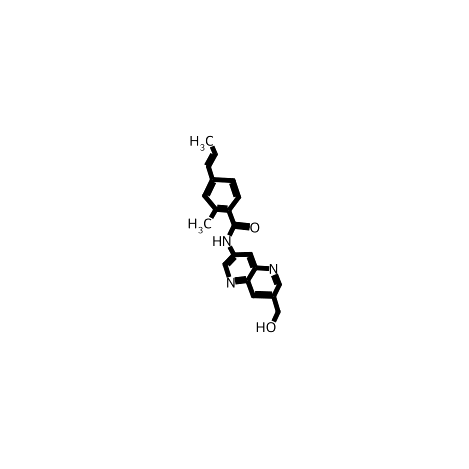 C/C=C/c1ccc(C(=O)Nc2cnc3cc(CO)cnc3c2)c(C)c1